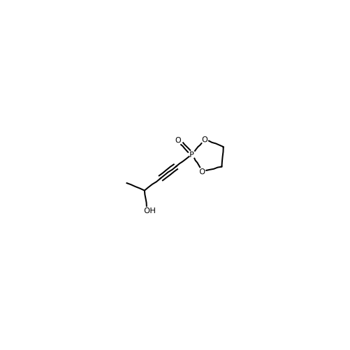 CC(O)C#CP1(=O)OCCO1